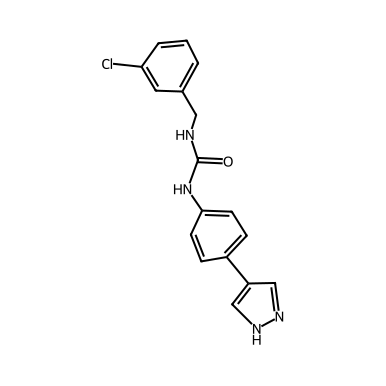 O=C(NCc1cccc(Cl)c1)Nc1ccc(-c2cn[nH]c2)cc1